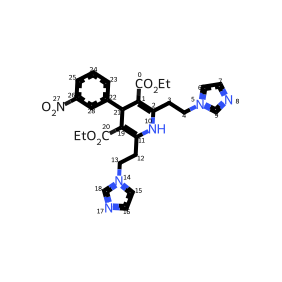 CCOC(=O)C1=C(CCn2ccnc2)NC(CCn2ccnc2)=C(C(=O)OCC)C1c1cccc([N+](=O)[O-])c1